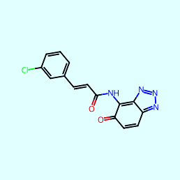 O=C(C=Cc1cccc(Cl)c1)NC1=C2N=NN=C2C=CC1=O